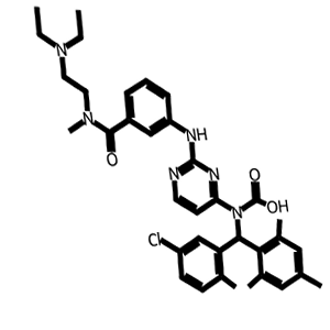 CCN(CC)CCN(C)C(=O)c1cccc(Nc2nccc(N(C(=O)O)C(c3cc(Cl)ccc3C)c3c(C)cc(C)cc3C)n2)c1